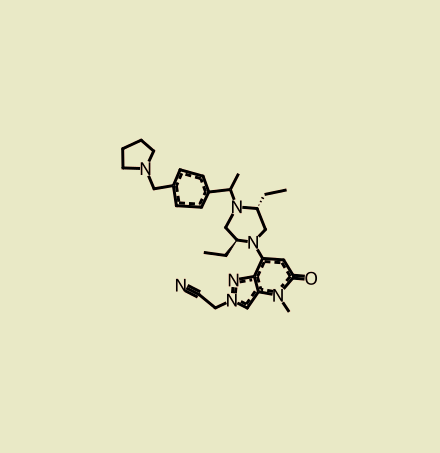 CC[C@H]1CN(C(C)c2ccc(CN3CCCC3)cc2)[C@H](CC)CN1c1cc(=O)n(C)c2cn(CC#N)nc12